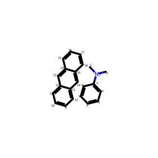 CN(C)c1ccccc1.c1ccc2cc3ccccc3cc2c1